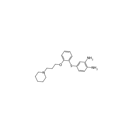 Nc1ccc(Sc2ccccc2OCCCN2CCCCC2)cc1N